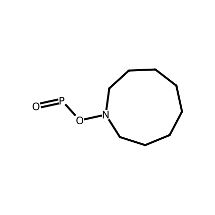 O=PON1CCCCCCCC1